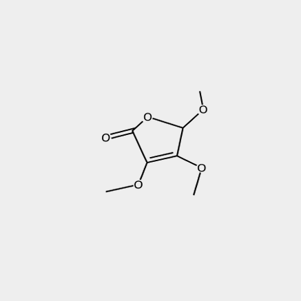 COC1=C(OC)C(OC)OC1=O